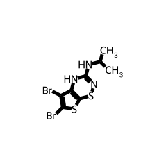 CC(C)NC1=NSc2sc(Br)c(Br)c2N1